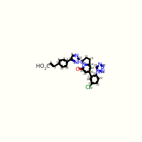 O=C(O)C=Cc1ccc(-c2cnc([C@@H]3CCc4cc(-c5cc(Cl)ccc5-n5cnnn5)cc(=O)n43)[nH]2)cc1